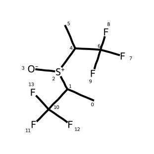 CC([S+]([O-])C(C)C(F)(F)F)C(F)(F)F